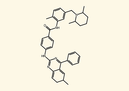 Cc1ccc(CN2C(C)CCCC2C)cc1NC(=O)c1ccc(Nc2nc(-c3ccccc3)c3c(n2)=CCC(C)C=3)cc1